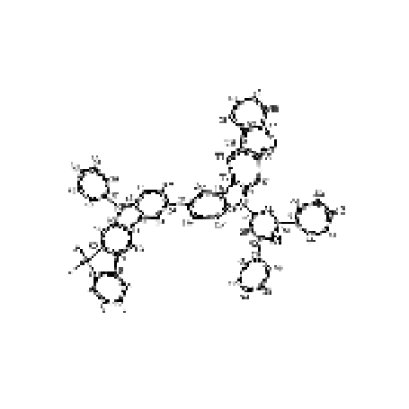 CC1(C)c2ccccc2-c2cc3c4cc(-c5ccc6c(c5)c5cc7c(cc5n6-c5cc(-c6ccccc6)nc(-c6ccccc6)n5)oc5ccccc57)ccc4n(-c4ccccc4)c3cc21